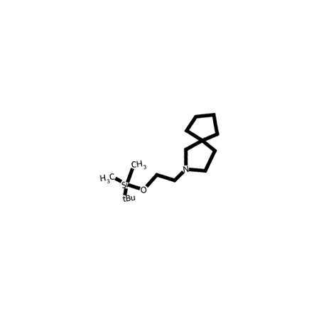 CC(C)(C)[Si](C)(C)OCCN1CCC2(CCCC2)C1